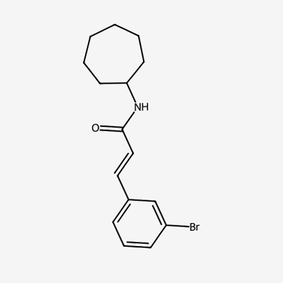 O=C(/C=C/c1cccc(Br)c1)NC1CCCCCC1